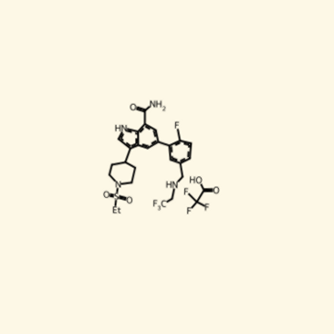 CCS(=O)(=O)N1CCC(c2c[nH]c3c(C(N)=O)cc(-c4cc(CNCC(F)(F)F)ccc4F)cc23)CC1.O=C(O)C(F)(F)F